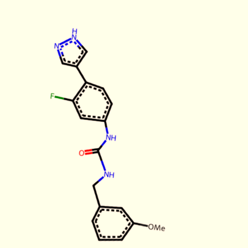 COc1cccc(CNC(=O)Nc2ccc(-c3cn[nH]c3)c(F)c2)c1